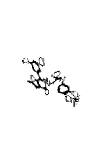 Cc1cc2c(=O)n(CC(=O)N(C)c3ccc4c(c3)OC(F)(F)O4)nc(-c3cc(Cl)cc(Cl)c3)c2o1